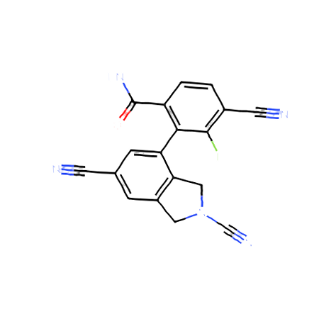 N#Cc1cc2c(c(-c3c(C(N)=O)ccc(C#N)c3F)c1)CN(C#N)C2